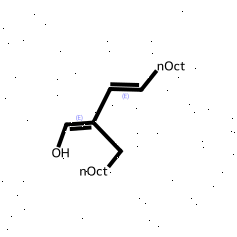 CCCCCCCC/C=C/C(=C/O)CCCCCCCCC